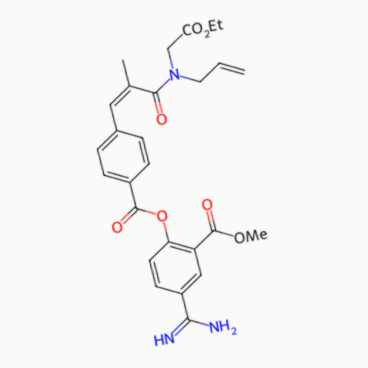 C=CCN(CC(=O)OCC)C(=O)C(C)=Cc1ccc(C(=O)Oc2ccc(C(=N)N)cc2C(=O)OC)cc1